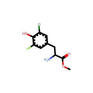 COC(=O)C(N)Cc1cc(F)c(O)c(Cl)c1